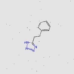 [c]1ccccc1CCc1nnn[nH]1